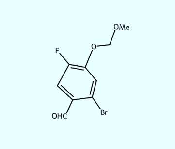 COCOc1cc(Br)c(C=O)cc1F